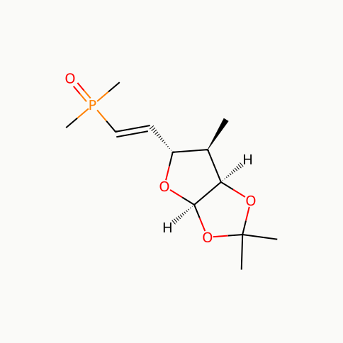 C[C@H]1[C@H]2OC(C)(C)O[C@H]2O[C@@H]1/C=C/P(C)(C)=O